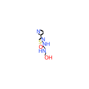 O=C(CNCCO)Nc1nc(-c2cccnc2)cs1